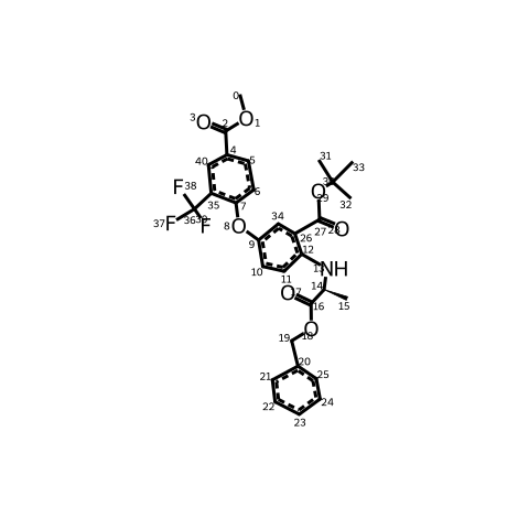 COC(=O)c1ccc(Oc2ccc(N[C@@H](C)C(=O)OCc3ccccc3)c(C(=O)OC(C)(C)C)c2)c(C(F)(F)F)c1